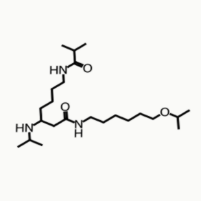 CC(C)NC(CCCCNC(=O)C(C)C)CC(=O)NCCCCCCOC(C)C